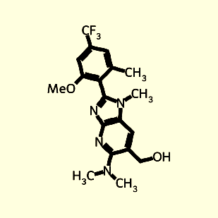 COc1cc(C(F)(F)F)cc(C)c1-c1nc2nc(N(C)C)c(CO)cc2n1C